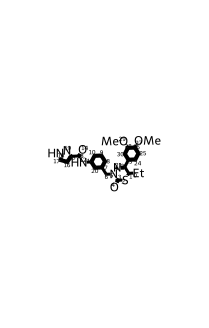 CCC1SC(=O)N(Cc2cccc(NC(=O)c3cc[nH]n3)c2)N=C1c1ccc(OC)c(OC)c1